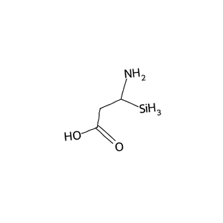 NC([SiH3])CC(=O)O